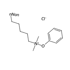 CCCCCCCCCCCCCC[N+](C)(C)Oc1ccccc1.[Cl-]